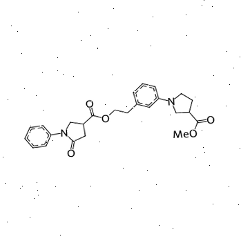 COC(=O)C1CCN(c2cccc(CCOC(=O)C3CC(=O)N(c4ccccc4)C3)c2)C1